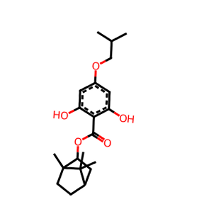 CC(C)COc1cc(O)c(C(=O)OC2CC3CCC2(C)C3(C)C)c(O)c1